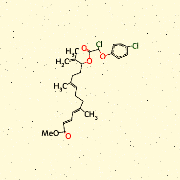 C=C(C)C(CCC(C)=CCCC(C)=CC=CC(=O)OC)OC(=O)C(Cl)Oc1ccc(Cl)cc1